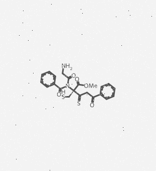 COC(=O)[C@](CS)(C(=S)CC(=O)c1ccccc1)N(C(=O)CN)C(=O)c1ccccc1